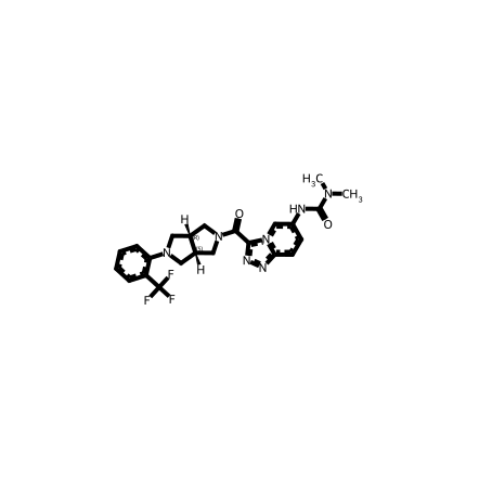 CN(C)C(=O)Nc1ccc2nnc(C(=O)N3C[C@@H]4CN(c5ccccc5C(F)(F)F)C[C@@H]4C3)n2c1